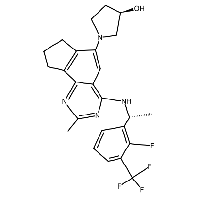 Cc1nc(N[C@H](C)c2cccc(C(F)(F)F)c2F)c2cc(N3CC[C@@H](O)C3)c3c(c2n1)CCC3